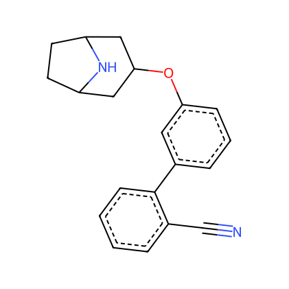 N#Cc1ccccc1-c1cccc(OC2CC3CCC(C2)N3)c1